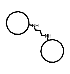 C1CCCCCCCC(NCCCNC2CCCCCCCCCCCCCC2)CCCCCC1